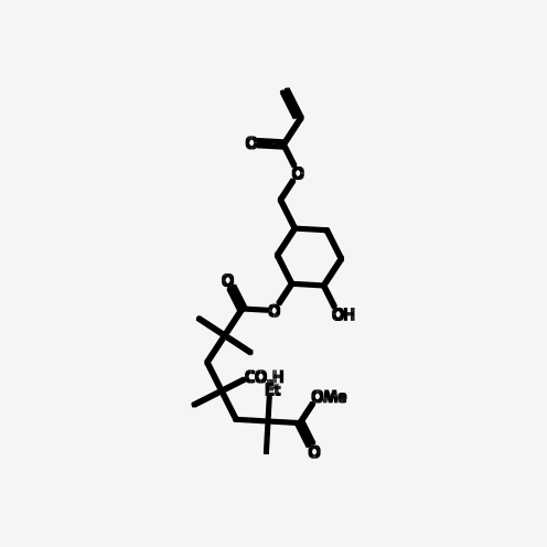 C=CC(=O)OCC1CCC(O)C(OC(=O)C(C)(C)CC(C)(CC(C)(CC)C(=O)OC)C(=O)O)C1